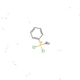 Cl[PH](Cl)([Ru])c1ccccc1